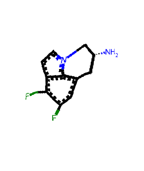 N[C@@H]1Cc2cc(F)c(F)c3ccn(c23)C1